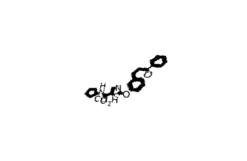 O=C(NC1(C(=O)O)CCCC1)c1cnc(Oc2ccc3c(c2)CC[C@@H](c2ccccc2)O3)s1